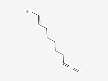 [CH]=C=CCCCCCC=CCCC